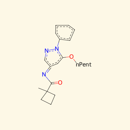 CCCCCOc1c/c(=N\C(=O)C2(C)CCC2)cnn1-c1ccccc1